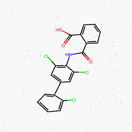 O=C(O)c1ccccc1C(=O)Nc1c(Cl)cc(-c2ccccc2Cl)cc1Cl